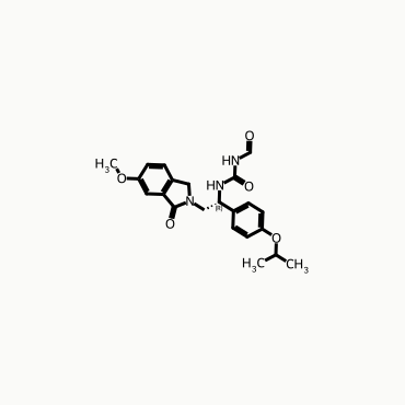 COc1ccc2c(c1)C(=O)N(C[C@H](NC(=O)NC=O)c1ccc(OC(C)C)cc1)C2